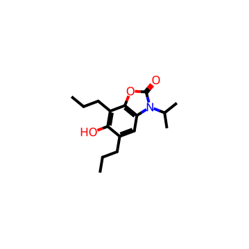 CCCc1cc2c(oc(=O)n2C(C)C)c(CCC)c1O